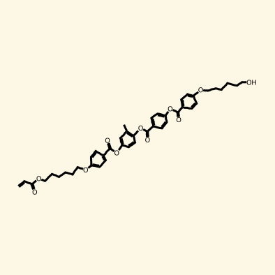 C=CC(=O)OCCCCCCOc1ccc(C(=O)Oc2ccc(OC(=O)c3ccc(OC(=O)c4ccc(OCCCCCCO)cc4)cc3)c(C)c2)cc1